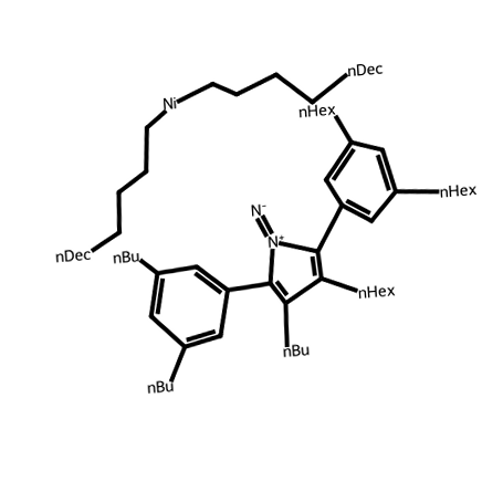 CCCCCCC1=C(c2cc(CCCCCC)cc(CCCCCC)c2)[N+](=[N-])C(c2cc(CCCC)cc(CCCC)c2)=C1CCCC.CCCCCCCCCCCCC[CH2][Ni][CH2]CCCCCCCCCCCCC